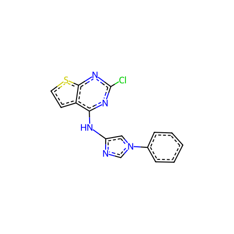 Clc1nc(Nc2cn(-c3ccccc3)cn2)c2ccsc2n1